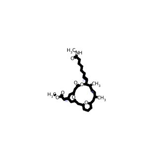 CNC(=O)CCCCC/C=C/C1OC(=O)CC2C/C(=C\C(=O)OC)CC(CC3CCCC(CC(C)/C=C/C1C)O3)O2